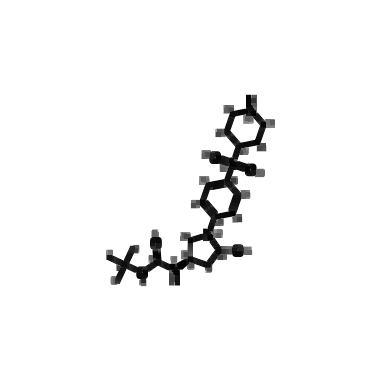 CC(C)(C)OC(=O)N[C@@H]1CC(=O)N(c2ccc(S(=O)(=O)C3CCNCC3)cc2)C1